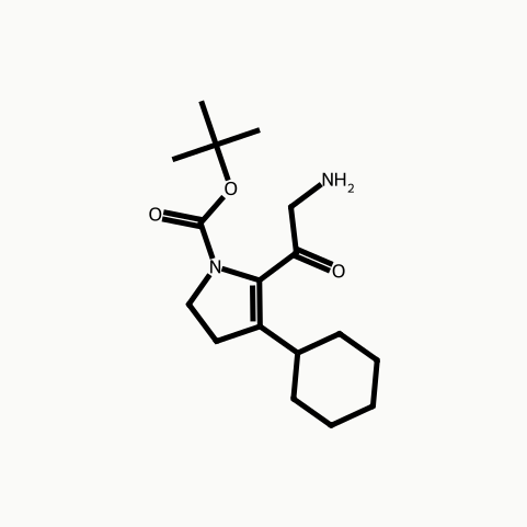 CC(C)(C)OC(=O)N1CCC(C2CCCCC2)=C1C(=O)CN